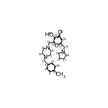 Cc1ccc(CN2CCN(Cc3oc(CN4CCCC4)cc(=O)c3O)CC2)cc1